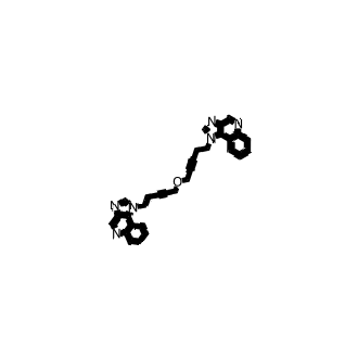 C(#CCOCC#CCCn1cnc2cnc3ccccc3c21)CCn1cnc2cnc3ccccc3c21